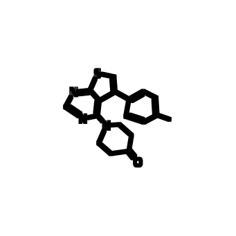 Cc1ccc(-c2csc3ncnc(N4CCC(=O)CC4)c23)cc1